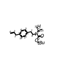 C=CCc1ccc(CCN(C(=O)OC(C)(C)C)[SiH](C)C)cc1